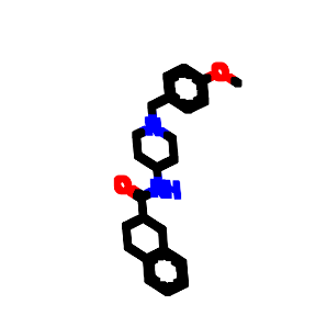 COc1ccc(CN2CCC(NC(=O)C3CCc4ccccc4C3)CC2)cc1